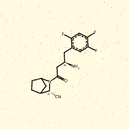 N#C[C@@H]1C2CCC(C2)N1C(=O)C[C@H](N)Cc1cc(F)c(F)cc1F